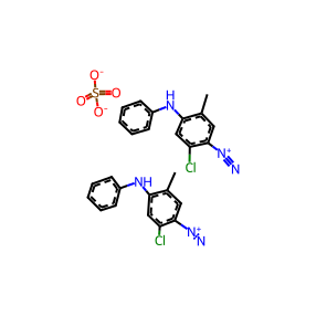 Cc1cc([N+]#N)c(Cl)cc1Nc1ccccc1.Cc1cc([N+]#N)c(Cl)cc1Nc1ccccc1.O=S(=O)([O-])[O-]